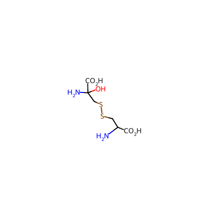 NC(CSSCC(N)(O)C(=O)O)C(=O)O